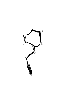 C#CCCC1COCC[N]1